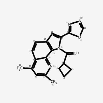 O=C(C1CCC1)n1c(-c2nnco2)cc2ccc3c(C(F)(F)F)cc(C(F)(F)F)nc3c21